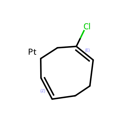 Cl/C1=C/CC/C=C\CC1.[Pt]